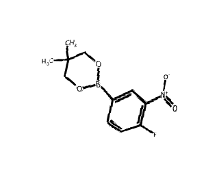 CC1(C)COB(c2ccc(F)c([N+](=O)[O-])c2)OC1